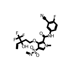 C=CC(O)(CCOc1c(S(=O)(=O)N=C)cn(C)c1C(=O)Nc1ccc(F)c(C#N)c1)C(F)(F)F